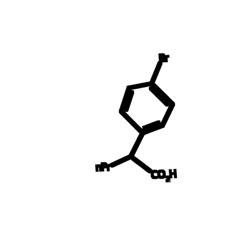 CCCC(C(=O)O)c1ccc(Br)cc1